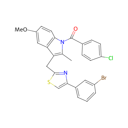 COc1ccc2c(c1)c(Cc1nc(-c3cccc(Br)c3)cs1)c(C)n2C(=O)c1ccc(Cl)cc1